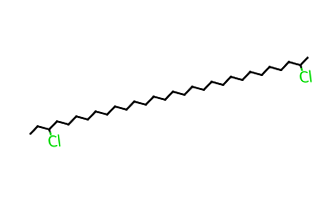 CCC(Cl)CCCCCCCCCCCCCCCCCCCCCCCCCC(C)Cl